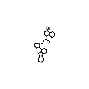 O=C(CCc1ccccc1-c1cccc2c1sc1ccccc12)c1ccc(Br)c2ccccc12